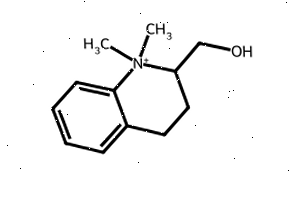 C[N+]1(C)c2ccccc2CCC1CO